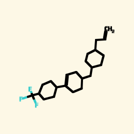 C=CCC1CCC(CC2CC=C(C3CCC(C(F)(F)F)CC3)CC2)CC1